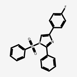 O=S(=O)(c1ccccc1)n1cc(-c2ccc(F)cc2)nc1-c1ccccc1